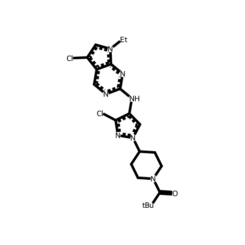 CCn1cc(Cl)c2cnc(Nc3cn(C4CCN(C(=O)C(C)(C)C)CC4)nc3Cl)nc21